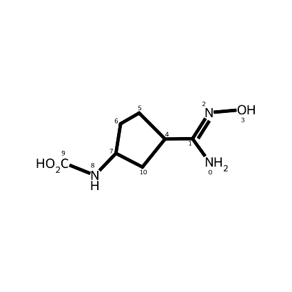 N/C(=N\O)C1CCC(NC(=O)O)C1